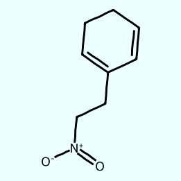 O=[N+]([O-])CCC1=CCCC=C1